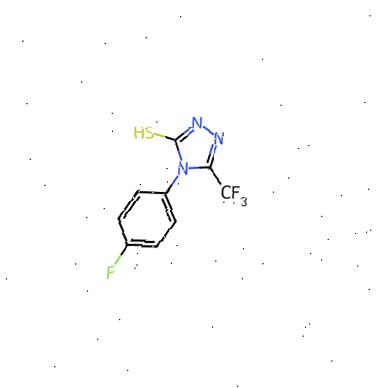 Fc1ccc(-n2c(S)nnc2C(F)(F)F)cc1